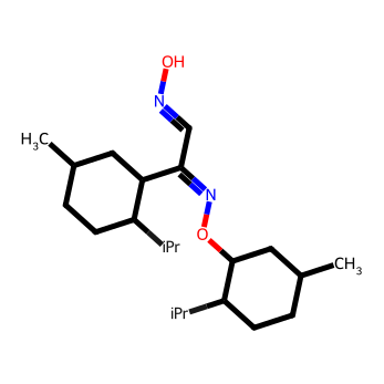 CC1CCC(C(C)C)C(ON=C(C=NO)C2CC(C)CCC2C(C)C)C1